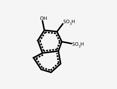 O=S(=O)(O)c1c(O)[c]c2ccccc2c1S(=O)(=O)O